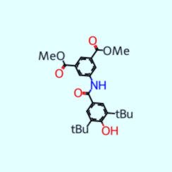 COC(=O)c1cc(NC(=O)c2cc(C(C)(C)C)c(O)c(C(C)(C)C)c2)cc(C(=O)OC)c1